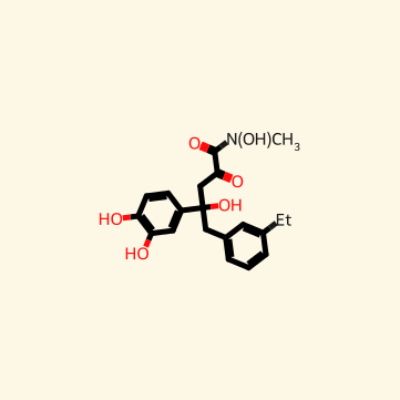 CCc1cccc(CC(O)(CC(=O)C(=O)N(C)O)c2ccc(O)c(O)c2)c1